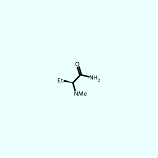 CC[C@H](NC)C(N)=O